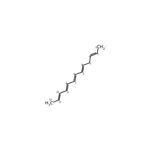 [CH2]C=CCC=CC=CC=CC=CC